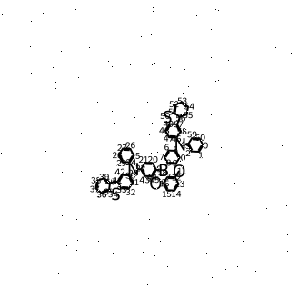 c1ccc(N(c2ccc3c(c2)Oc2cccc4c2B3c2ccc(N(c3ccccc3)c3ccc5sc6ccccc6c5c3)cc2O4)c2ccc3sc4ccccc4c3c2)cc1